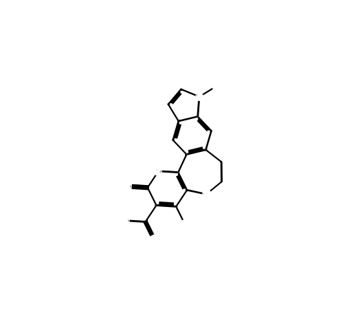 Cn1ccc2cc3c(cc21)CCOc1c-3[nH]c(=O)c(C(=O)O)c1O